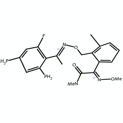 CNC(=O)/C(=N/OC)c1cccc(C)c1CO/N=C(\C)c1c(F)cc(P)cc1P